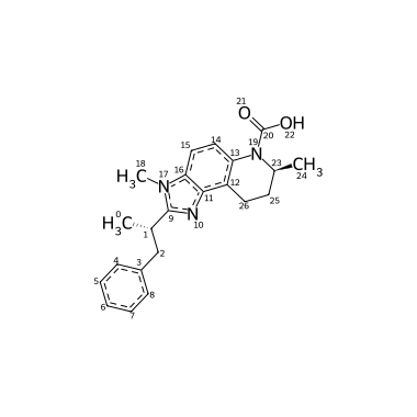 C[C@@H](Cc1ccccc1)c1nc2c3c(ccc2n1C)N(C(=O)O)[C@@H](C)CC3